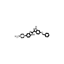 CN1CCN(c2ccc3[nH]c(-c4n[nH]c5cc(OCc6ccccc6)ccc45)nc3c2)CC1